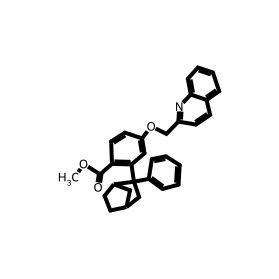 COC(=O)c1ccc(OCc2ccc3ccccc3n2)cc1C1(c2ccccc2)CC2CCC1C2